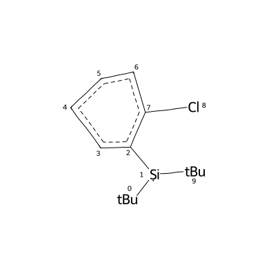 CC(C)(C)[Si](c1ccccc1Cl)C(C)(C)C